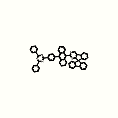 c1ccc(-c2nc(-c3ccccc3)nc(-c3ccc(-c4c5ccccc5c(-c5ncc6c(n5)C5(c7ccccc7-c7ccccc75)c5ccccc5-6)c5ccccc45)cc3)n2)cc1